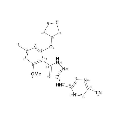 COc1cc(C)nc(OC2CCCC2)c1-c1cc(Nc2cnc(C#N)cn2)n[nH]1